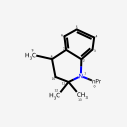 CCCN1c2ccccc2C(C)CC1(C)C